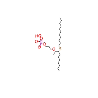 CCCCCCCCCCCSC(CCCCCCC)C(C)OCCCO[PH](=O)C(=O)OO